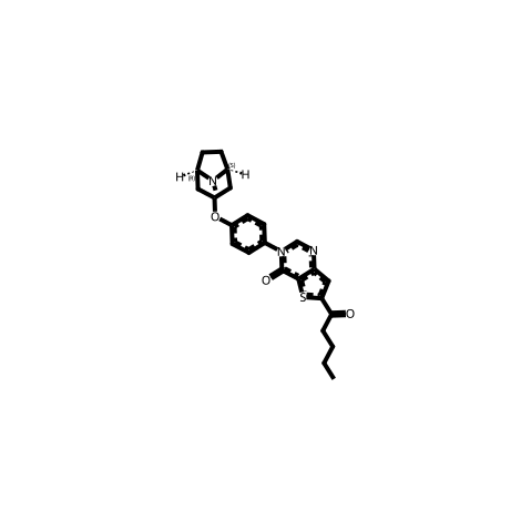 CCCCC(=O)c1cc2ncn(-c3ccc(OC4C[C@H]5CC[C@@H](C4)N5C)cc3)c(=O)c2s1